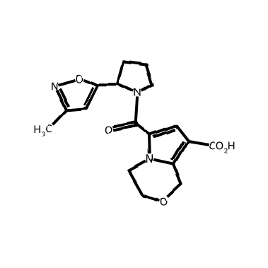 Cc1cc(C2CCCN2C(=O)c2cc(C(=O)O)c3n2CCOC3)on1